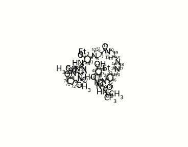 CCOc1cc(N2CCC(C(=O)N3CCC(CN4CCN(Cc5ccc(-n6c(C(=O)NC(C)C(F)(F)F)nnc6-c6cc(CC)c(O)cc6O)cc5)CC4)CC3)CC2)ccc1Nc1ncc2c(n1)N(S(C)(=O)=O)c1ccccc1C(=O)N2C